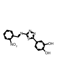 O=[N+]([O-])c1ccccc1C=Nc1nnc(-c2ccc(O)c(O)c2)s1